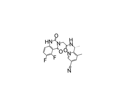 Cc1cc(C#N)cnc1[C@@H](C)NC(=O)Cn1c(=O)[nH]c2ccc(F)c(F)c2c1=O